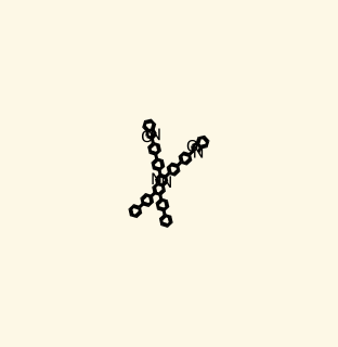 c1ccc(-c2ccc(-c3cc4nc(-c5ccc(-c6ccc(-c7nc8ccccc8o7)cc6)cc5)c(-c5ccc(-c6ccc(-c7nc8ccccc8o7)cc6)cc5)nc4cc3-c3ccc(-c4ccccc4)cc3)cc2)cc1